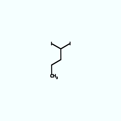 CCCC(I)I